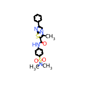 Cc1c(C(=O)Nc2ccc(S(=O)(=O)N(C)C)cc2)sc2nc(-c3ccccc3)cn12